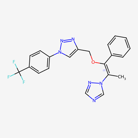 C/C(=C(/OCc1cn(-c2ccc(C(F)(F)F)cc2)nn1)c1ccccc1)n1cncn1